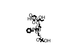 C=C(CO[C@H]([C@H](O)CC)n1ccc(=O)[nH]c1=O)OP(=O)(NCc1ccccc1)OCCSC(=O)C(C)(C)CO